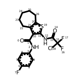 O=C(Nc1ccc(F)cc1)c1c(NC(=O)C(F)(F)Cl)sc2c1CCCCC2